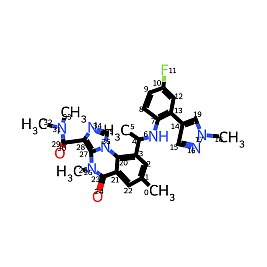 Cc1cc(C(C)Nc2ccc(F)cc2-c2cnn(C)c2)c2c(c1)c(=O)n(C)c1c(C(=O)N(C)C)ncn21